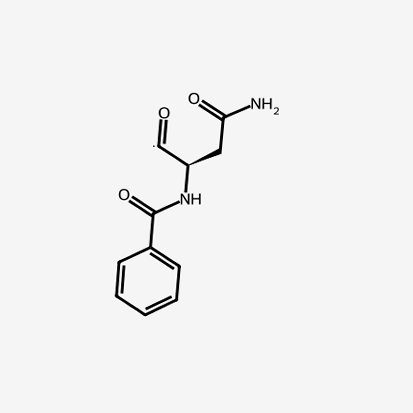 NC(=O)C[C@H]([C]=O)NC(=O)c1ccccc1